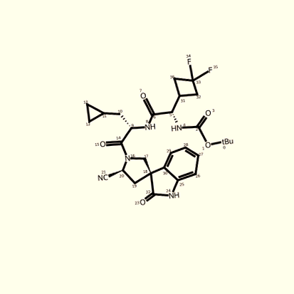 CC(C)(C)OC(=O)N[C@H](C(=O)N[C@@H](CC1CC1)C(=O)N1C[C@]2(C[C@H]1C#N)C(=O)Nc1ccccc12)C1CC(F)(F)C1